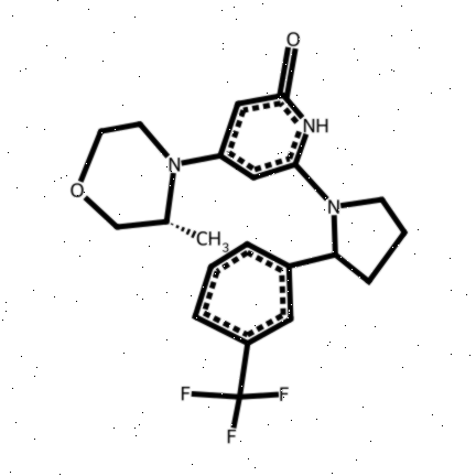 C[C@@H]1COCCN1c1cc(N2CCCC2c2cccc(C(F)(F)F)c2)[nH]c(=O)c1